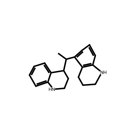 CC(c1cccc2c1CCCN2)C1CCNc2ccccc21